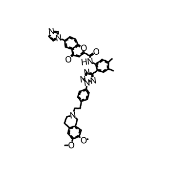 COc1cc2c(cc1OC)CN(CCc1ccc(-n3nnc(-c4cc(C)c(C)cc4NC(=O)c4cc(=O)c5cc(-n6ccnc6)ccc5o4)n3)cc1)CC2